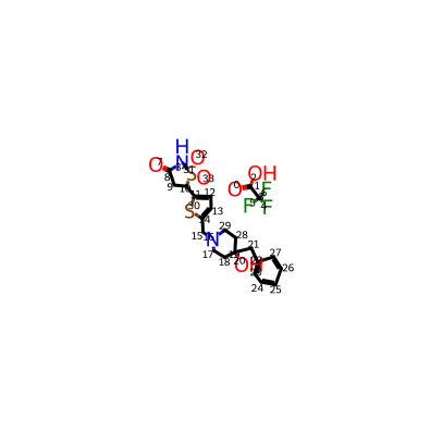 O=C(O)C(F)(F)F.O=C1CC(c2ccc(CN3CCC(O)(Cc4ccccc4)CC3)s2)S(=O)(=O)N1